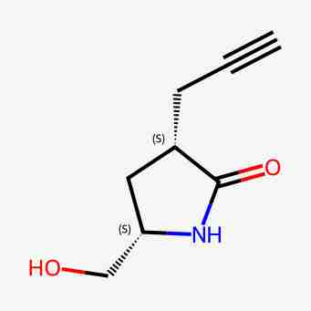 C#CC[C@H]1C[C@@H](CO)NC1=O